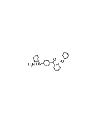 Nc1ccccc1Nc1ccc(C(=O)c2ccccc2COc2ccccc2)cc1